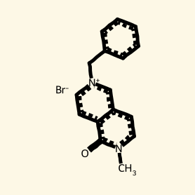 Cn1ccc2c[n+](Cc3ccccc3)ccc2c1=O.[Br-]